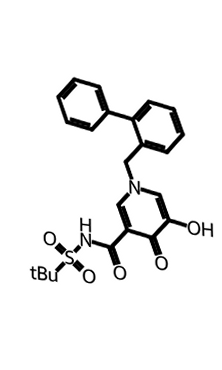 CC(C)(C)S(=O)(=O)NC(=O)c1cn(Cc2ccccc2-c2ccccc2)cc(O)c1=O